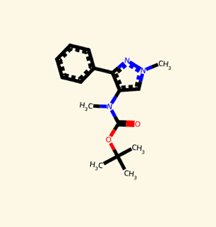 CN(C(=O)OC(C)(C)C)c1cn(C)nc1-c1ccccc1